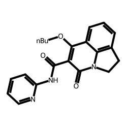 CCCCOc1c(C(=O)Nc2ccccn2)c(=O)n2c3c(cccc13)CC2